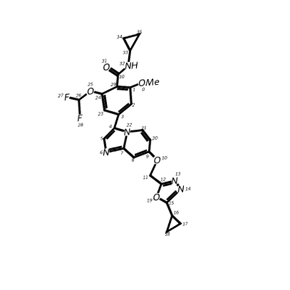 COc1cc(-c2cnc3cc(OCc4nnc(C5CC5)o4)ccn23)cc(OC(F)F)c1C(=O)NC1CC1